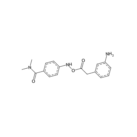 CN(C)C(=O)c1ccc(NOC(=O)Cc2cccc(N)c2)cc1